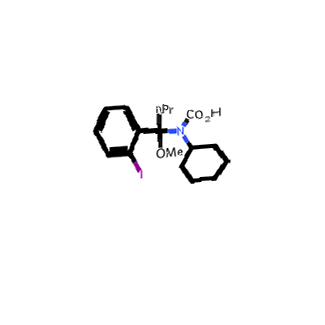 CCCC(OC)(c1ccccc1I)N(C(=O)O)C1CCCCC1